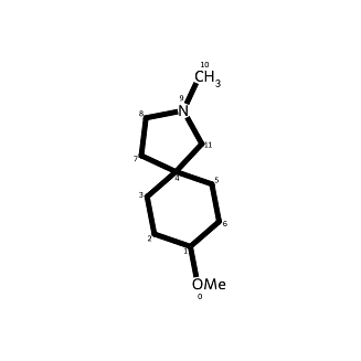 COC1CCC2(CC1)CCN(C)C2